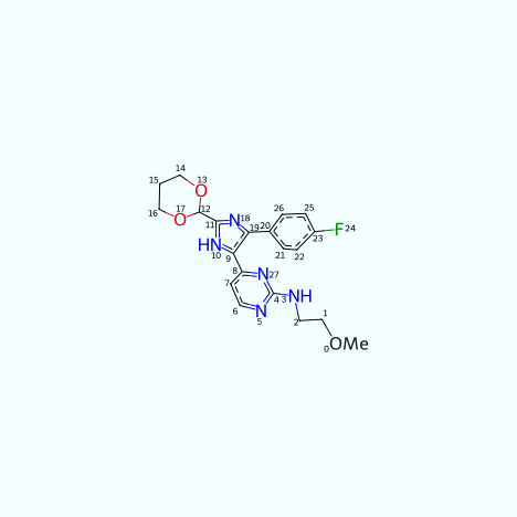 COCCNc1nccc(-c2[nH]c(C3OCCCO3)nc2-c2ccc(F)cc2)n1